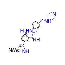 CN/C=C(\C=N)c1ccc(N)c(C(=N)c2cc3cc(CNC4CCN(C)CC4)ccc3[nH]2)c1